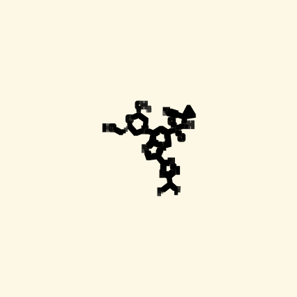 C[C@H]1CN(c2cc(S(=O)(=O)NC3(C#N)CC3)cn3c(-c4nnc(C(F)F)s4)cnc23)C[C@H](CO)O1